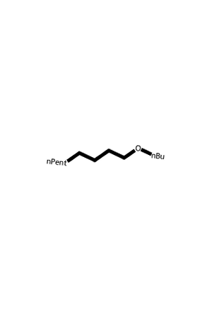 CCCCCCCCCOCCCC